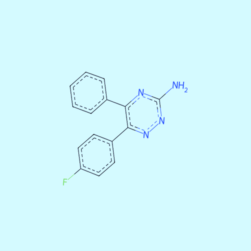 Nc1nnc(-c2ccc(F)cc2)c(-c2ccccc2)n1